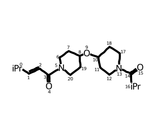 CC(C)/C=C/C(=O)N1CCC(OC2CCN(C(=O)C(C)C)CC2)CC1